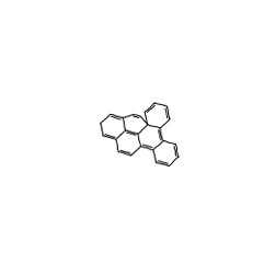 C1=CC2=c3ccccc3=c3ccc4c5c3C2(C=C1)C=CC5=CCC=4